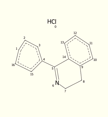 Cl.c1ccc(C2=NCCc3ccccc32)cc1